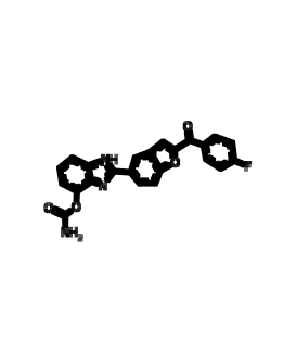 NC(=O)Oc1cccc2[nH]c(-c3ccc4oc(C(=O)c5ccc(F)cc5)cc4c3)nc12